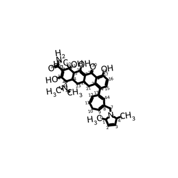 CC1C=CC(C)N1CC1=CCC=CC(c2ccc(O)c3c2CC2CC4C(C(O)=C2C3=O)[C@@](C)(O)C(C(N)=O)=C(O)[C@H]4N(C)C)=C1